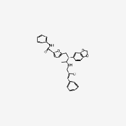 CC(NC/C(Cl)=C/c1ccccc1)C(Cc1ccc(C(=O)Nc2ccccc2)o1)c1ccc2c(c1)OCO2